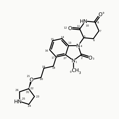 Cn1c(=O)n(C2CCC(=O)NC2=O)c2cccc(CCCO[C@H]3CCNC3)c21